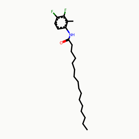 CCCCCCCCCCCCCCCC(=O)Nc1ccc(F)c(F)c1C